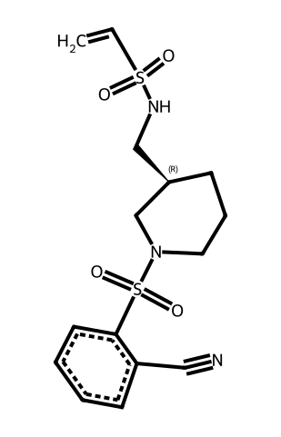 C=CS(=O)(=O)NC[C@H]1CCCN(S(=O)(=O)c2ccccc2C#N)C1